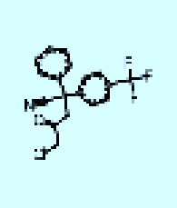 N#CC(CC(=O)CCl)(c1ccccc1)c1ccc(C(F)(F)F)cc1